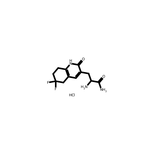 Cl.NC(=O)C(N)Cc1cc2c([nH]c1=O)CCC(F)(F)C2